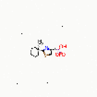 CC1(c2nc(CP(=O)(O)O)cs2)CCCCC1